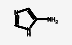 Nc1cn[c][nH]1